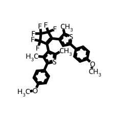 COc1ccc(-c2cc(C3=C(c4c(C)sc(-c5ccc(OC)cc5)c4C)C(F)(F)C(F)(F)C3(F)F)c(C)s2)cc1